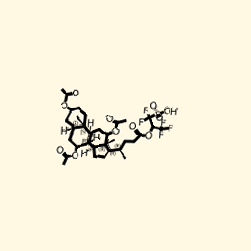 CC(=O)OC1CC[C@@]2(C)[C@@H](C1)CC(OC(C)=O)[C@@H]1[C@@H]2CC(OC(C)=O)[C@]2(C)[C@@H]([C@H](C)CCC(=O)OC(C(F)(F)F)C(F)(F)S(=O)(=O)O)CC[C@@H]12